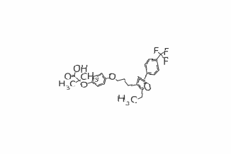 CCc1oc(-c2ccc(C(F)(F)F)cc2)cc1CCCOc1ccc(OC(C)(C)C(=O)O)cc1